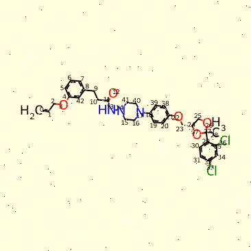 C=CCOc1cccc(CCC(=O)NN2CCN(c3ccc(OC[C@@H]4CO[C@](C)(c5ccc(Cl)cc5Cl)O4)cc3)CC2)c1